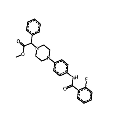 COC(=O)C(c1ccccc1)N1CCN(c2ccc(NC(=O)c3ccccc3F)cc2)CC1